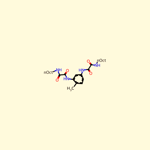 CCCCCCCCNC(=O)C(=O)Nc1ccc(C)c(NC(=O)C(=O)NCCCCCCCC)c1